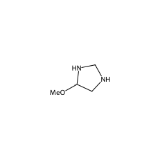 CO[C]1CNCN1